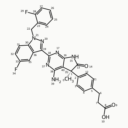 C[C@@]1(c2ccc(CCC(=O)O)cc2)C(=O)Nc2nc(-c3nn(Cc4ccccc4F)c4ccc(F)cc34)nc(N)c21